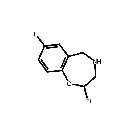 CCC1CNCc2cc(F)ccc2O1